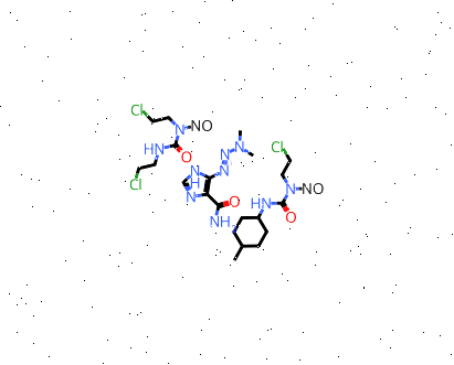 CC1CCC(NC(=O)N(CCCl)N=O)CC1.CN(C)/N=N/c1[nH]cnc1C(N)=O.O=NN(CCCl)C(=O)NCCCl